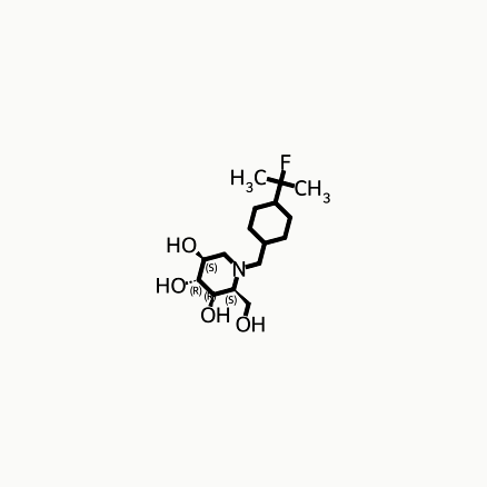 CC(C)(F)C1CCC(CN2C[C@H](O)[C@@H](O)[C@H](O)[C@@H]2CO)CC1